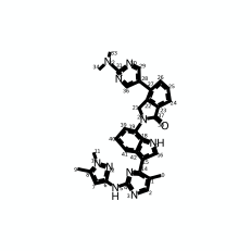 Cc1cnc(Nc2cc(C)n(C)n2)nc1-c1c[nH]c2c(N3Cc4c(cccc4-c4cnc(N(C)C)nc4)C3=O)cccc12